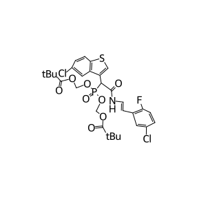 CC(C)(C)C(=O)OCOP(=O)(OCOC(=O)C(C)(C)C)C(C(=O)NC=Cc1cc(Cl)ccc1F)c1csc2ccc(Cl)cc12